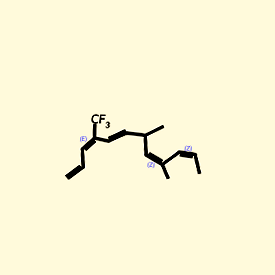 C=C/C=C(\C=CC(C)/C=C(C)\C=C/C)C(F)(F)F